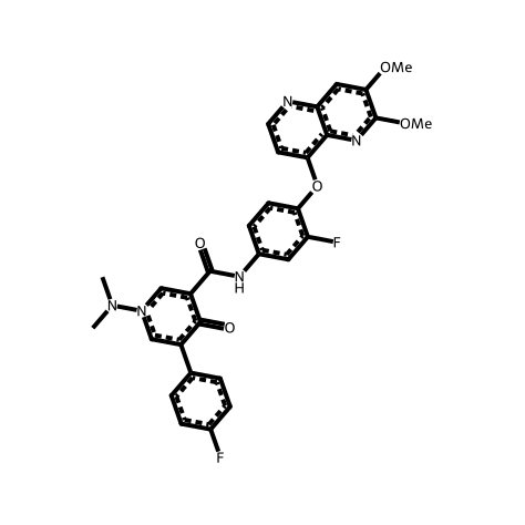 COc1cc2nccc(Oc3ccc(NC(=O)c4cn(N(C)C)cc(-c5ccc(F)cc5)c4=O)cc3F)c2nc1OC